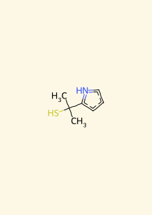 CC(C)(S)c1ccc[nH]1